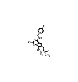 C[C@H](F)[C@H](N)Cc1cc2c(NCc3ccc(F)cc3)nc(Cl)nn2c1Br